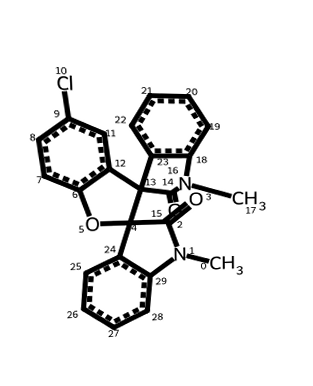 CN1C(=O)C2(Oc3ccc(Cl)cc3C23C(=O)N(C)c2ccccc23)c2ccccc21